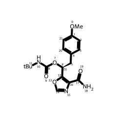 COc1ccc(C[C@H](OC(=O)NC(C)(C)C)c2ocnc2C(N)=O)cc1